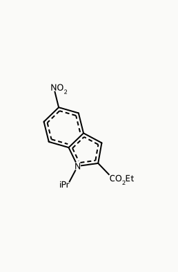 CCOC(=O)c1cc2cc([N+](=O)[O-])ccc2n1C(C)C